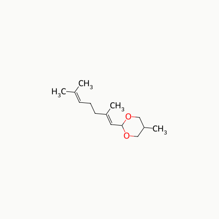 CC(C)=CCC/C(C)=C/C1OCC(C)CO1